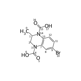 CC1CN(C(=O)O)c2cc(Br)ccc2N1C(=O)O